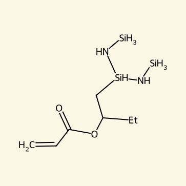 C=CC(=O)OC(CC)C[SiH](N[SiH3])N[SiH3]